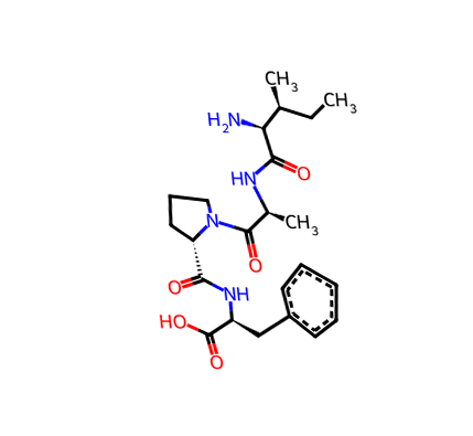 CC[C@H](C)[C@H](N)C(=O)N[C@@H](C)C(=O)N1CCC[C@H]1C(=O)N[C@@H](Cc1ccccc1)C(=O)O